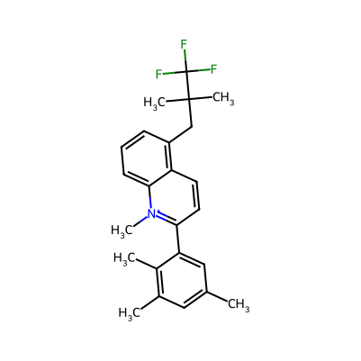 Cc1cc(C)c(C)c(-c2ccc3c(CC(C)(C)C(F)(F)F)cccc3[n+]2C)c1